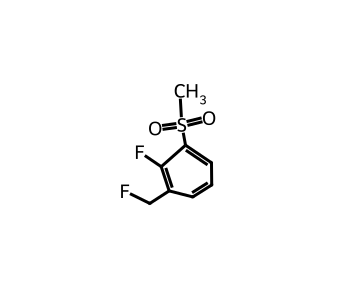 CS(=O)(=O)c1cccc(CF)c1F